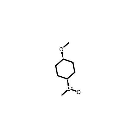 CO[C@H]1CC[C@@H]([S+](C)[O-])CC1